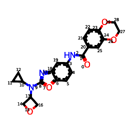 O=C(Nc1ccc2oc(N(C3CC3)C3COC3)nc2c1)c1ccc2c(c1)OCCO2